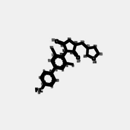 Cc1cc(-c2ccc(C(F)(F)F)cc2)cc(C)c1C1C(=O)CC(CC2CCOC2)C1=O